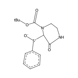 CC(C)(C)OC(=O)N1CCNC(=O)C1[S+]([O-])c1ccccc1